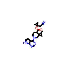 CC1CC12CN(c1ncnc3[nH]ccc13)CCC2C(=O)OC1(CC#N)CC1